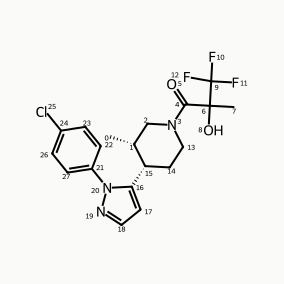 C[C@@H]1CN(C(=O)C(C)(O)C(F)(F)F)CC[C@@H]1c1ccnn1-c1ccc(Cl)cc1